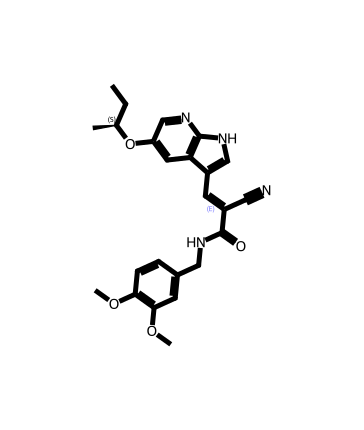 CC[C@H](C)Oc1cnc2[nH]cc(/C=C(\C#N)C(=O)NCc3ccc(OC)c(OC)c3)c2c1